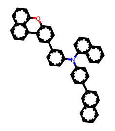 c1cc(-c2ccc3c(c2)-c2cccc4cccc(c24)O3)cc(N(c2ccc(-c3ccc4ccccc4c3)cc2)c2cccc3ccccc23)c1